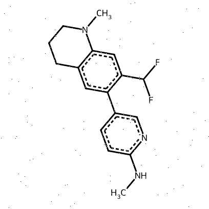 CNc1ccc(-c2cc3c(cc2C(F)F)N(C)CCC3)cn1